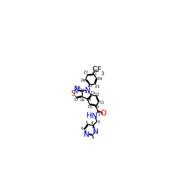 O=C(NCc1ccncn1)c1ccc2c(c1)c1csnc1n2-c1ccc(C(F)(F)F)cc1